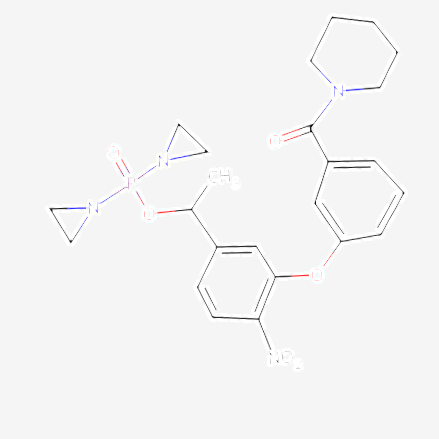 CC(OP(=O)(N1CC1)N1CC1)c1ccc([N+](=O)[O-])c(Oc2cccc(C(=O)N3CCCCC3)c2)c1